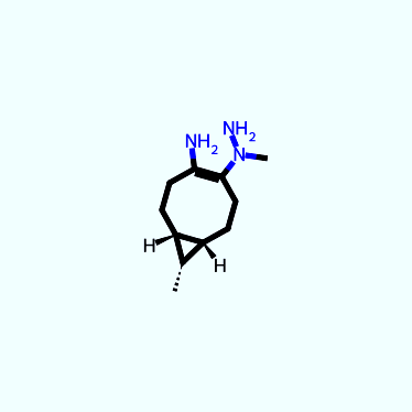 C[C@H]1[C@H]2CC/C(N(C)N)=C(/N)CC[C@@H]12